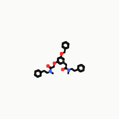 CN(CCc1ccccc1)C(=O)COc1cc(CC(=O)N(C)CCc2ccccc2)cc(OCc2ccccc2)c1